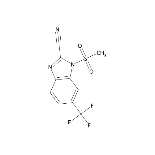 CS(=O)(=O)n1c(C#N)nc2ccc(C(F)(F)F)cc21